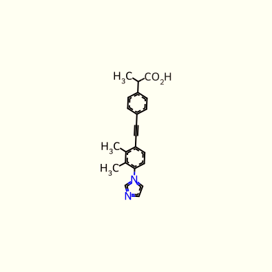 Cc1c(C#Cc2ccc(C(C)C(=O)O)cc2)ccc(-n2ccnc2)c1C